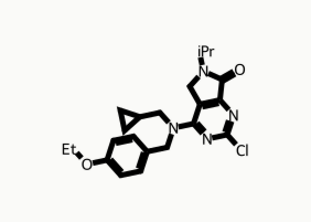 CCOc1ccc(CN(CC2CC2)c2nc(Cl)nc3c2CN(C(C)C)C3=O)cc1